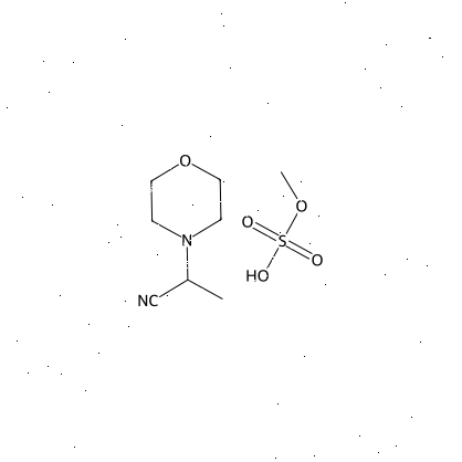 CC(C#N)N1CCOCC1.COS(=O)(=O)O